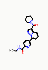 N#CCNC(=O)c1ccc(-c2cccc3c(C(=O)N4CCCCC4)cnn23)cn1